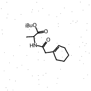 CC(C)COC(=O)C(C)NC(=O)CC1=CCCCC1